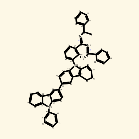 CC(/N=C(\N=C(/N)c1ccccc1)c1cccc(-n2c3c(c4cc(-c5ccc6c(c5)c5ccccc5n6-c5ccccc5)ccc42)CCC=C3)c1)c1ccccc1